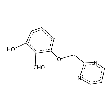 O=Cc1c(O)cccc1OCc1ncccn1